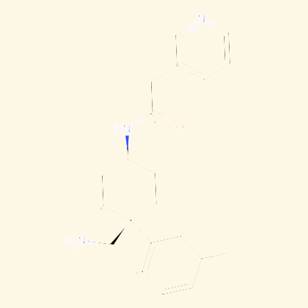 NC[C@]1(c2cccc(Cl)c2)CC[C@H](NC(=O)Cc2cccnc2)CC1